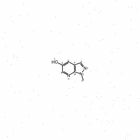 Cn1ncc2cc(O)cnc21